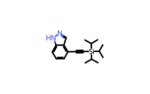 CC(C)[Si](C#Cc1cccc2[nH]ncc12)(C(C)C)C(C)C